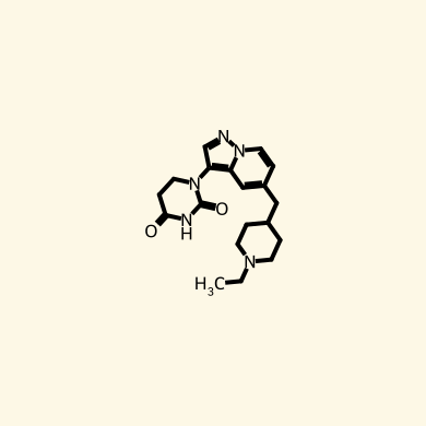 CCN1CCC(Cc2ccn3ncc(N4CCC(=O)NC4=O)c3c2)CC1